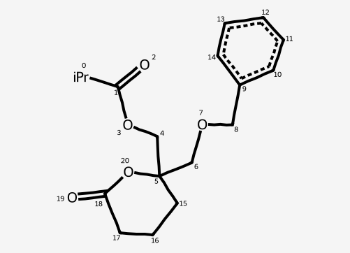 CC(C)C(=O)OCC1(COCc2ccccc2)CCCC(=O)O1